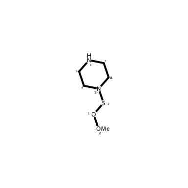 COOSN1CCNCC1